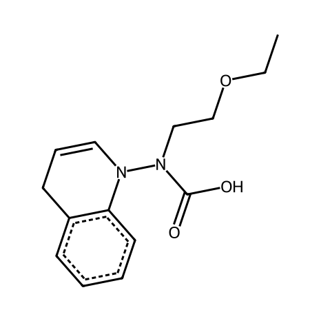 CCOCCN(C(=O)O)N1C=CCc2ccccc21